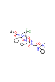 CN(C)C(=O)C(NC(=O)CNC(=O)C(=O)C(CC1CCC1)NC(=O)[C@@H]1C2C(CN1C(=O)C(NC(=O)OC(C)(C)C)C1CCCCC1)C2(Cl)Cl)c1ccccc1